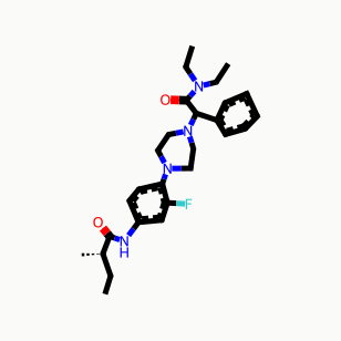 CC[C@H](C)C(=O)Nc1ccc(N2CCN(C(C(=O)N(CC)CC)c3ccccc3)CC2)c(F)c1